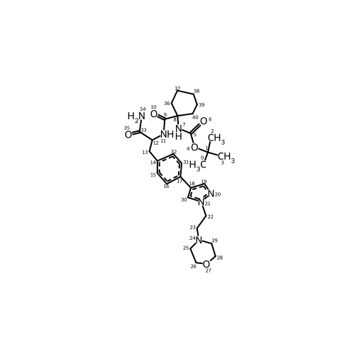 CC(C)(C)OC(=O)NC1(C(=O)NC(Cc2ccc(-c3cnn(CCN4CCOCC4)c3)cc2)C(N)=O)CCCCC1